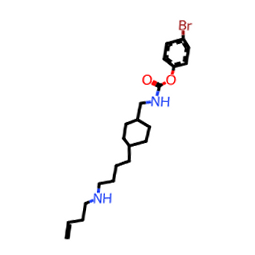 C=CCCNCCCCC1CCC(CNC(=O)Oc2ccc(Br)cc2)CC1